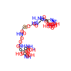 CC(C)(CCOC(=O)NCCOCCOCCNC(=O)c1ccc(C(=O)O)c(-c2c3ccc(=N)c(S(=O)(=O)O)c-3oc3c(S(=O)(=O)O)c(N)ccc23)c1)SSCOCCCCOC(=O)NCC#Cc1cn([C@H]2CC(CCN=[N+]=[N-])[C@@H](COP(=O)(O)OP(=O)(O)OP(=O)(O)O)O2)c(=O)nc1N